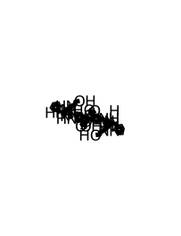 O=S(=O)(O)c1cc(Nc2nc(NCCO)nc(Nc3ccccc3)n2)ccc1/C=C/c1ccc(Nc2nc(NCCO)nc(Nc3ccccc3)n2)cc1S(=O)(=O)O